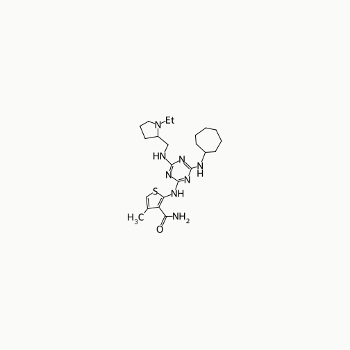 CCN1CCCC1CNc1nc(Nc2scc(C)c2C(N)=O)nc(NC2CCCCCC2)n1